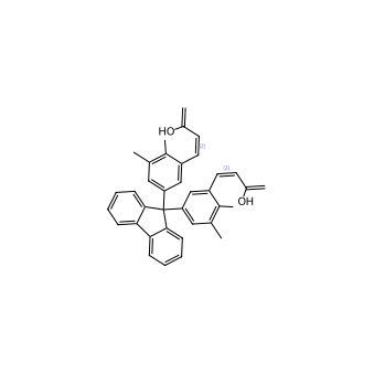 C=C(O)/C=C\c1cc(C2(c3cc(C)c(C)c(/C=C\C(=C)O)c3)c3ccccc3-c3ccccc32)cc(C)c1C